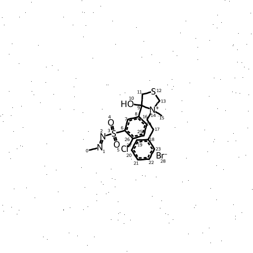 CN=NS(=O)(=O)c1cc(C2(O)CSC[N+]2(C)CCc2ccccc2)ccc1Cl.[Br-]